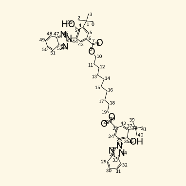 CC(C)(C)c1cc(C(=O)OCCCCCCCCCCOC(=O)c2cc(-n3nc4ccccc4n3)c(O)c(C(C)(C)C)c2)cc(-n2nc3ccccc3n2)c1O